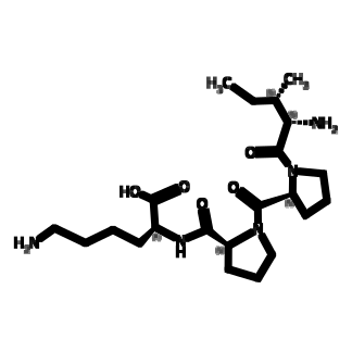 CC[C@H](C)[C@H](N)C(=O)N1CCC[C@H]1C(=O)N1CCC[C@H]1C(=O)N[C@@H](CCCCN)C(=O)O